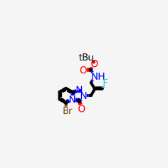 CC(C)(C)OC(=O)NC/C(=C\F)Cn1nc2cccc(Br)n2c1=O